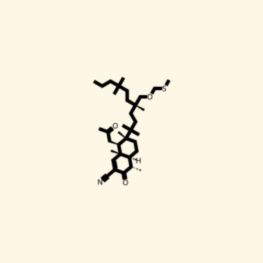 CCCC(C)(C)CC[C@@](C)(CCC(C)(C)[C@]1(C)CC[C@H]2[C@H](C)C(=O)C(C#N)=C[C@]2(C)[C@H]1CC(C)=O)COCSC